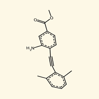 COC(=O)c1ccc(C#Cc2c(C)cccc2C)c(N)c1